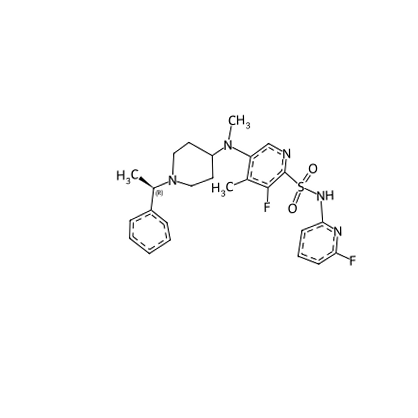 Cc1c(N(C)C2CCN([C@H](C)c3ccccc3)CC2)cnc(S(=O)(=O)Nc2cccc(F)n2)c1F